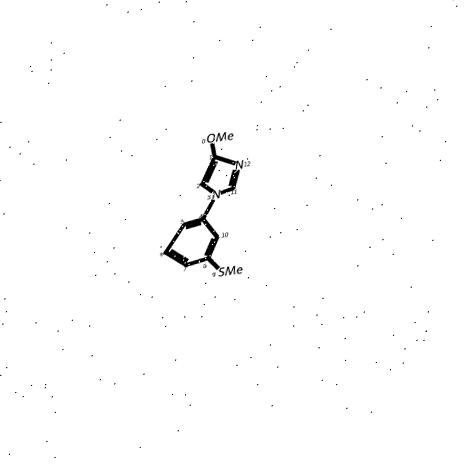 COc1cn(-c2cccc(SC)c2)cn1